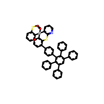 c1ccc(-c2cc(-c3ccccc3)c(-c3ccccc3)c(-c3ccc(-c4cccc5c4Sc4ncccc4[Si]54c5ccccc5Sc5ccccc54)cc3)c2-c2ccccc2)cc1